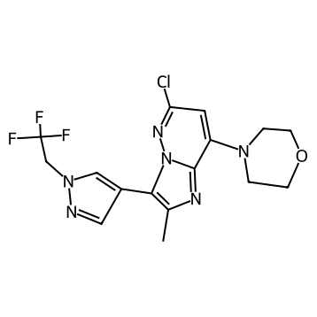 Cc1nc2c(N3CCOCC3)cc(Cl)nn2c1-c1cnn(CC(F)(F)F)c1